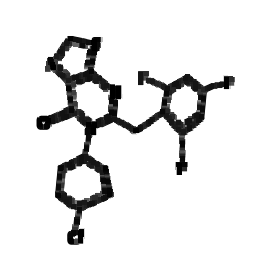 O=c1c2ncsc2nc(Cc2c(F)cc(F)cc2F)n1-c1ccc(Cl)cc1